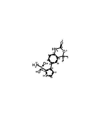 CC1(C)OC(=O)Nc2ccc(-c3ccsc3S(N)(=O)=O)cc21